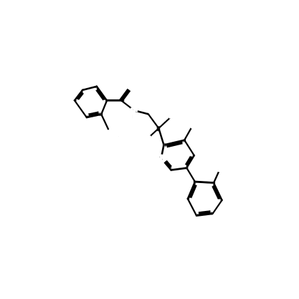 O=C(NCC(F)(F)c1ncc(-c2ccccc2Cl)cc1Cl)c1ccccc1C(F)(F)F